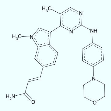 Cc1cnc(Nc2ccc(N3CCOCC3)cc2)nc1-c1cn(C)c2cc(C=CC(N)=O)ccc12